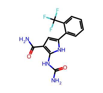 NC(=O)Nc1[nH]c(-c2ccccc2C(F)(F)F)cc1C(N)=O